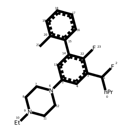 CCCC(F)c1cc(N2CCN(CC)CC2)cc(-c2ccccc2C)c1F